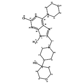 Cn1c(CN2CCC(C3(O)CCOCC3)CC2)nc2c(N3CCOCC3)nc(Cl)nc21